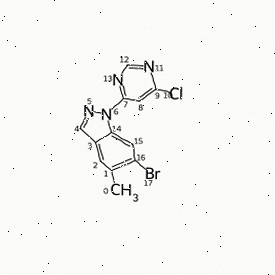 Cc1cc2cnn(-c3cc(Cl)ncn3)c2cc1Br